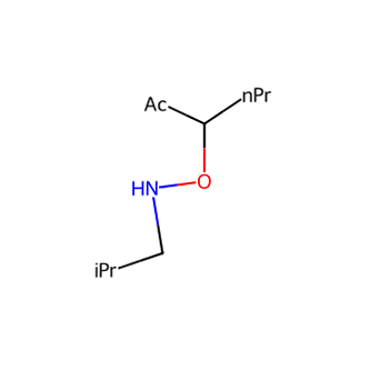 CCCC(ONCC(C)C)C(C)=O